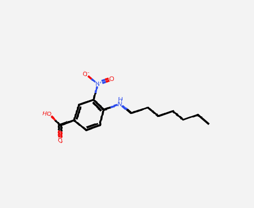 CCCCCCCNc1ccc(C(=O)O)cc1[N+](=O)[O-]